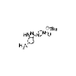 CC(C)(C)OC(=O)N1CC2CC1CN2c1n[nH]c2cc(N)ccc12